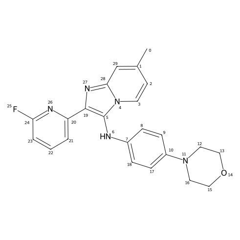 Cc1ccn2c(Nc3ccc(N4CCOCC4)cc3)c(-c3cccc(F)n3)nc2c1